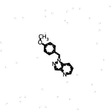 COc1ccc(Cn2ncc3ncccc32)cc1